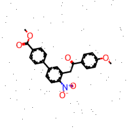 COC(=O)c1ccc(-c2ccc([N+](=O)[O-])c(CC(=O)c3ccc(OC)cc3)c2)cc1